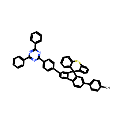 N#Cc1ccc(-c2ccc3c(c2)C2(c4ccccc4Sc4ccccc42)c2cc(-c4ccc(-c5nc(-c6ccccc6)nc(-c6ccccc6)n5)cc4)ccc2-3)cc1